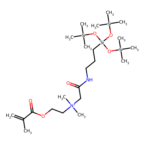 C=C(C)C(=O)OCC[N+](C)(C)CC(=O)NCCC[Si](O[Si](C)(C)C)(O[Si](C)(C)C)O[Si](C)(C)C